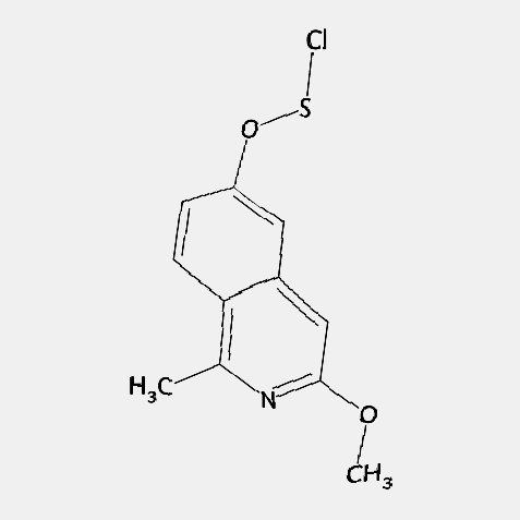 COc1cc2cc(OSCl)ccc2c(C)n1